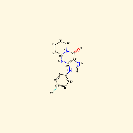 O=c1c2ncn(-c3ccc(F)cc3)c2nc2n1CCCC2